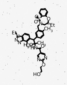 CC[C@@H]1CN(Cc2cc(C(c3ccc4c(nnn4CC)c3C)C(C)(C)NC(=O)c3cnc(OCCO)nc3)ccc2C)S(=O)(=O)c2ccccc2O1